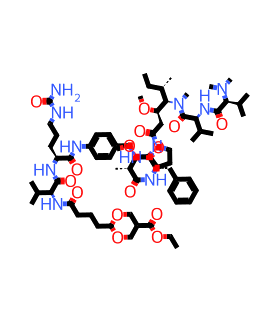 CCOC(=O)C1COC(CCCC(=O)N[C@H](C(=O)N[C@@H](CCCNC(N)=O)C(=O)Nc2ccc(CNC(=O)[C@H](Cc3ccccc3)NC(=O)[C@H](C)[C@@H](OC)C3CCCN3C(=O)C[C@@H](OC)[C@H]([C@@H](C)CC)N(C)C(=O)[C@@H](NC(=O)[C@H](C(C)C)N(C)C)C(C)C)cc2)C(C)C)OC1